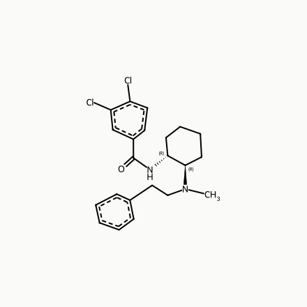 CN(CCc1ccccc1)[C@@H]1CCCC[C@H]1NC(=O)c1ccc(Cl)c(Cl)c1